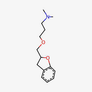 CN(C)CCCOCC1Cc2ccccc2O1